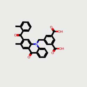 Cc1ccccc1C(=O)c1cc2c(cc1C)c(=O)c1ccccc1n2Cc1cc(C(=O)O)cc(C(=O)O)c1